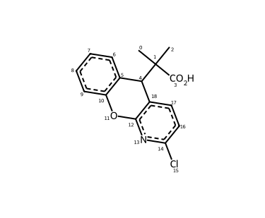 CC(C)(C(=O)O)C1c2ccccc2Oc2nc(Cl)ccc21